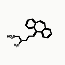 CN(CCC=C1c2ccccc2C=Cc2ccccc21)CC(=O)O